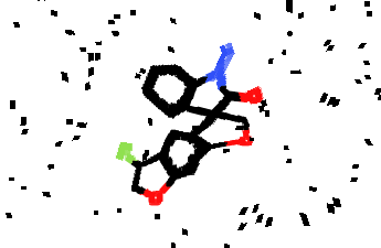 O=C1Nc2ccccc2C12COc1cc3c(cc12)C(F)CO3